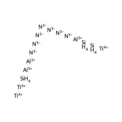 [Al+3].[Al+3].[Al+3].[N-3].[N-3].[N-3].[N-3].[N-3].[N-3].[N-3].[SiH4].[SiH4].[SiH4].[Ti+4].[Ti+4].[Ti+4]